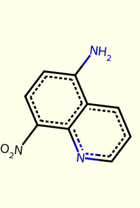 Nc1ccc([N+](=O)[O-])c2ncccc12